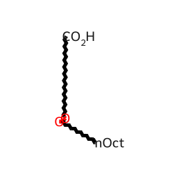 CCCCCCCCC=CCCCCCCCCCC(=O)OCCCCCCCCCCCCCCCCCCCCCCCC(=O)O